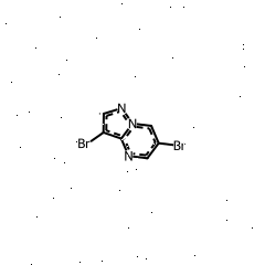 Brc1cnc2c(Br)[c]nn2c1